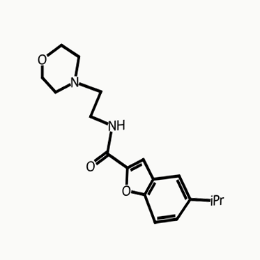 CC(C)c1ccc2oc(C(=O)NCCN3CCOCC3)cc2c1